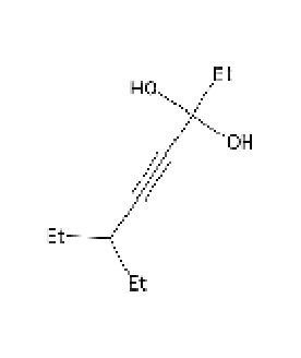 CCC(C#CC(O)(O)CC)CC